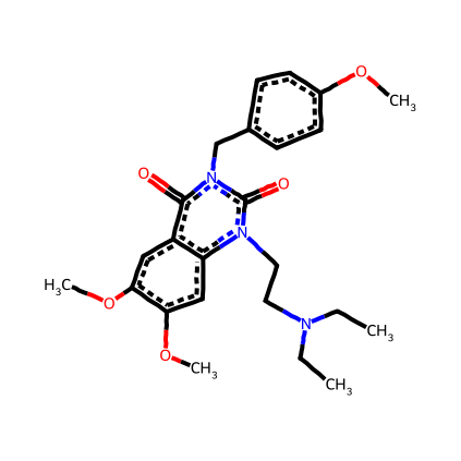 CCN(CC)CCn1c(=O)n(Cc2ccc(OC)cc2)c(=O)c2cc(OC)c(OC)cc21